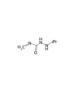 C=NC(=O)NNC(C)C